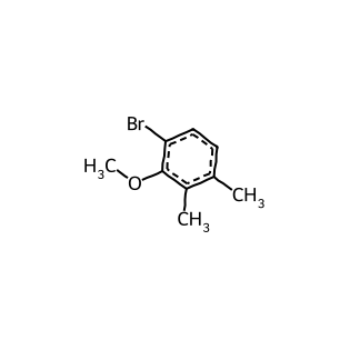 COc1c(Br)ccc(C)c1C